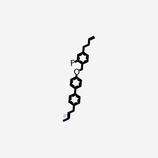 C=CCCc1ccc(COc2ccc(-c3ccc(C/C=C/C)cc3)cc2)c(F)c1